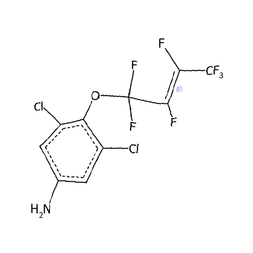 Nc1cc(Cl)c(OC(F)(F)/C(F)=C(\F)C(F)(F)F)c(Cl)c1